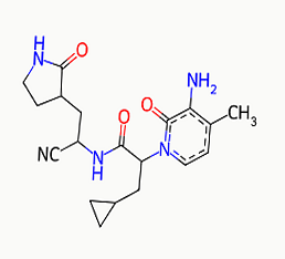 Cc1ccn(C(CC2CC2)C(=O)NC(C#N)CC2CCNC2=O)c(=O)c1N